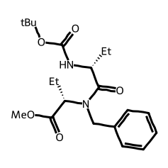 CC[C@@H](NC(=O)OC(C)(C)C)C(=O)N(Cc1ccccc1)[C@@H](CC)C(=O)OC